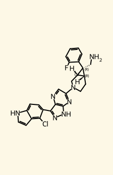 NC[C@]1(c2ccccc2F)[C@@H]2CCN(c3cnc4c(-c5ccc6[nH]ccc6c5Cl)n[nH]c4n3)C[C@@H]21